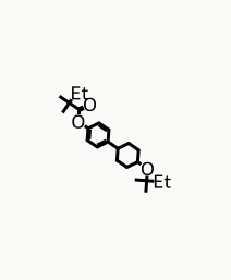 CCC(C)(C)OC1CCC(c2ccc(OC(=O)C(C)(C)CC)cc2)CC1